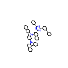 c1ccc(-c2cccc(-c3nc(-c4ccccc4)nc(-c4cc(-n5c6cc(-n7c8ccccc8c8c9ccccc9ccc87)ccc6c6cc7ccccc7cc65)c5ccccc5c4)n3)c2)cc1